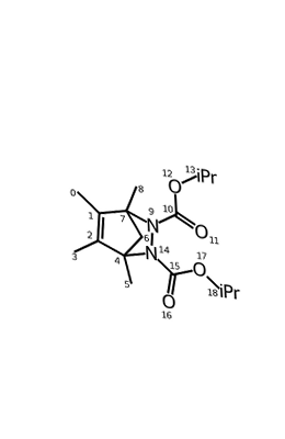 CC1=C(C)C2(C)CC1(C)N(C(=O)OC(C)C)N2C(=O)OC(C)C